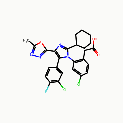 Cc1nnc(-c2nc(C3CCCCC3)n(-c3cc(Cl)ccc3CC(=O)O)c2-c2ccc(F)c(Cl)c2)o1